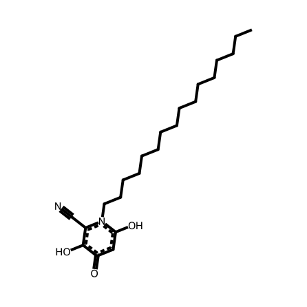 CCCCCCCCCCCCCCCCn1c(O)cc(=O)c(O)c1C#N